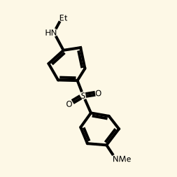 CCNc1ccc(S(=O)(=O)c2ccc(NC)cc2)cc1